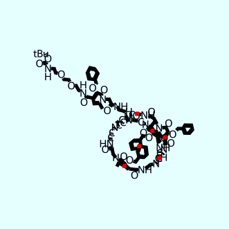 Cc1cc(C(=O)NCCOCCOCCNC(=O)OC(C)(C)C)c(OCc2ccccc2)c(=O)n1CC(=O)NCCN1CCNC(=O)Cn2c(C)cc(c(OCc3ccccc3)c2=O)C(=O)NCCN2CCNC(=O)c3cc(C)n(c(=O)c3OCc3ccccc3)CC(=O)NCCN(CCNC(=O)Cn3c(C)cc(c(OCc4ccccc4)c3=O)C(=O)NCC2)CC1